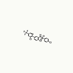 O=S(=O)(Nc1cc(-c2ncc(C(F)(F)F)cc2Cl)ccc1Cl)c1ccc(Cl)cc1